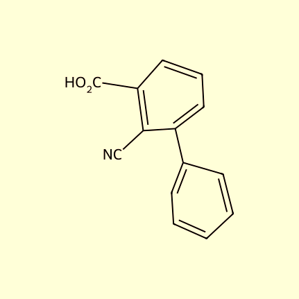 N#Cc1c(C(=O)O)cccc1-c1ccccc1